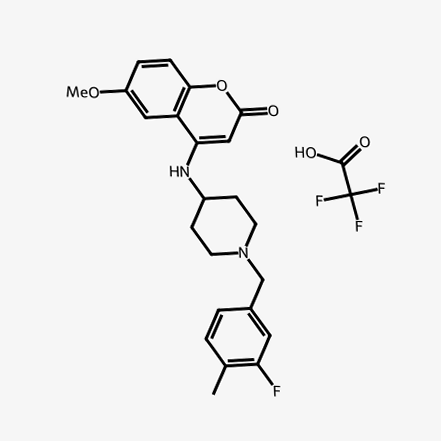 COc1ccc2oc(=O)cc(NC3CCN(Cc4ccc(C)c(F)c4)CC3)c2c1.O=C(O)C(F)(F)F